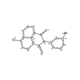 O=C1c2cccc3c(Cl)ccc(c23)C(=O)N1c1cccc(Br)c1